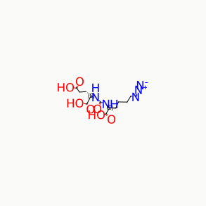 [N-]=[N+]=NCCCC[C@H](NC(=O)N[C@@H](CCC(=O)O)C(=O)O)C(=O)O